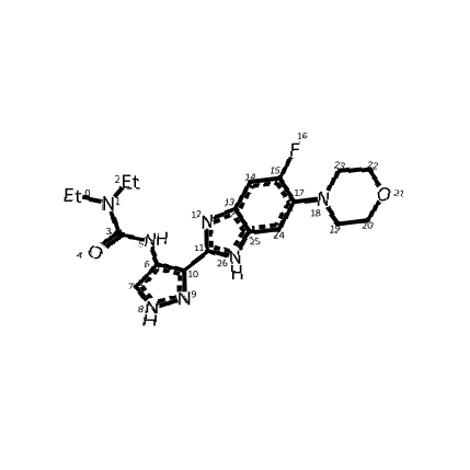 CCN(CC)C(=O)Nc1c[nH]nc1-c1nc2cc(F)c(N3CCOCC3)cc2[nH]1